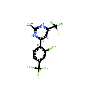 Fc1cc(C(F)(F)F)ccc1-c1cc(C(F)(F)F)nc(Cl)n1